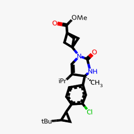 COC(=O)C12CC(N3C=C(C(C)C)[C@](C)(c4ccc(C5CC5C(C)(C)C)c(Cl)c4)NC3=O)(C1)C2